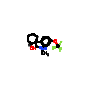 CNCC1(c2ccc(OC(F)(F)F)cc2)CCCC[C@@H]1O